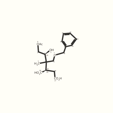 CC(=O)OC[C@@H](O)C(C)(COCc1ccccc1)[C@@H](CC(=O)O)C(=O)O